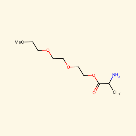 [CH2]C(N)C(=O)OCCOCCOCCOC